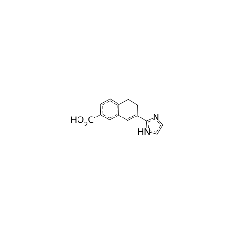 O=C(O)c1ccc2c(c1)C=C(c1ncc[nH]1)CC2